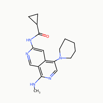 CNc1ncc(N2CCCCC2)c2cc(NC(=O)C3CC3)ncc12